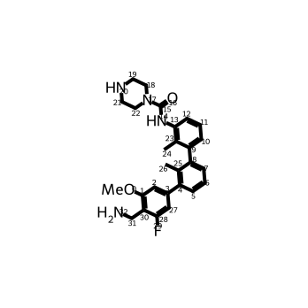 COc1cc(-c2cccc(-c3cccc(NC(=O)N4CCNCC4)c3C)c2C)cc(F)c1CN